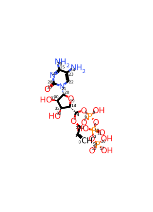 C=CCOC(OP(=O)(O)OP(=O)(O)OP(=O)(O)O)[C@H]1O[C@@H](n2cc(N)c(N)nc2=O)[C@H](O)[C@@H]1O